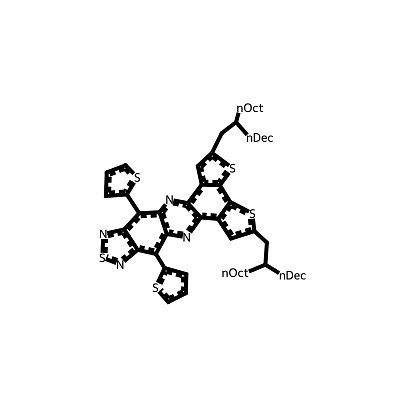 CCCCCCCCCCC(CCCCCCCC)Cc1cc2c3nc4c(-c5cccs5)c5nsnc5c(-c5cccs5)c4nc3c3cc(CC(CCCCCCCC)CCCCCCCCCC)sc3c2s1